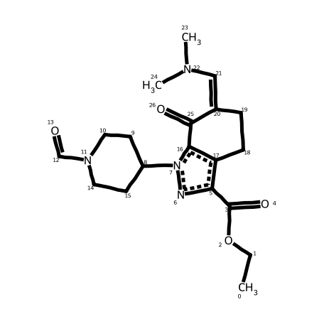 CCOC(=O)c1nn(C2CCN(C=O)CC2)c2c1CC/C(=C/N(C)C)C2=O